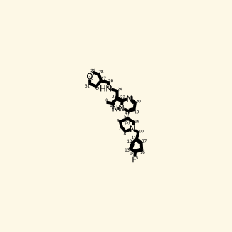 Cc1nn2c([C@H]3CCCN(Cc4ccc(F)cc4)C3)ccnc2c1CNCC1CCOCC1